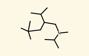 CC(C)C(CN(C)C(C)C)CC(C)(C)C